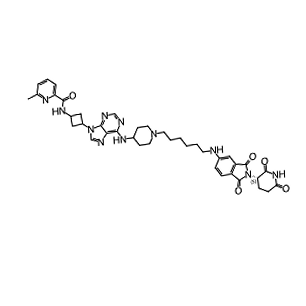 Cc1cccc(C(=O)NC2CC(n3cnc4c(NC5CCN(CCCCCCNc6ccc7c(c6)C(=O)N([C@H]6CCC(=O)NC6=O)C7=O)CC5)ncnc43)C2)n1